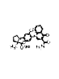 COC(=O)C1(C)CCCN1c1ccc(-n2cc(C(N)=O)c(=O)c3ccccc32)c(C(F)(F)F)c1